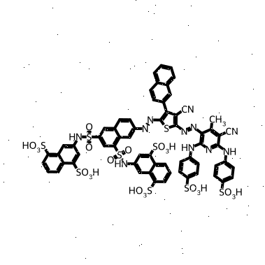 Cc1c(C#N)c(Nc2ccc(S(=O)(=O)O)cc2)nc(Nc2ccc(S(=O)(=O)O)cc2)c1/N=N/c1sc(/N=N/c2ccc3cc(S(=O)(=O)Nc4cc(S(=O)(=O)O)c5cccc(S(=O)(=O)O)c5c4)cc(S(=O)(=O)Nc4cc(S(=O)(=O)O)c5cccc(S(=O)(=O)O)c5c4)c3c2)c(-c2ccc3ccccc3c2)c1C#N